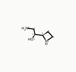 NC[C@H](O)[C@H]1CCN1